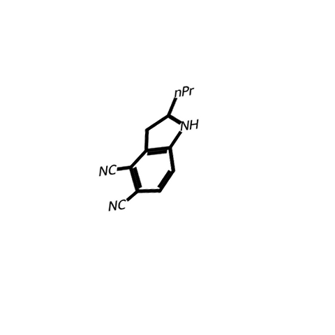 CCCC1Cc2c(ccc(C#N)c2C#N)N1